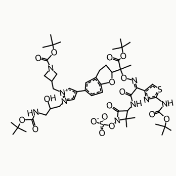 CC(C)(C)OC(=O)NCC(O)Cn1cc(-c2ccc3c(c2)CCC(C(C)(O/N=C(\C(=O)NC2C(=O)N(OS(=O)(=O)[O-])C2(C)C)c2csc(NC(=O)OC(C)(C)C)n2)C(=O)OC(C)(C)C)O3)c[n+]1CC1CN(C(=O)OC(C)(C)C)C1